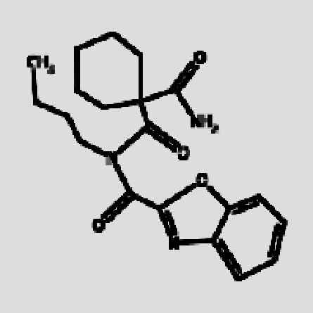 CCCCN(C(=O)c1nc2ccccc2o1)C(=O)C1(C(N)=O)CCCCC1